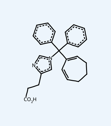 O=C(O)CCc1cn(C(C2=CCCCC=C2)(c2ccccc2)c2ccccc2)cn1